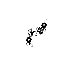 O=C(NCc1cn(-c2ccc(C(F)(F)F)cc2)nc1Cl)[C@@H]1CCN1S(=O)(=O)c1ccc(F)cc1